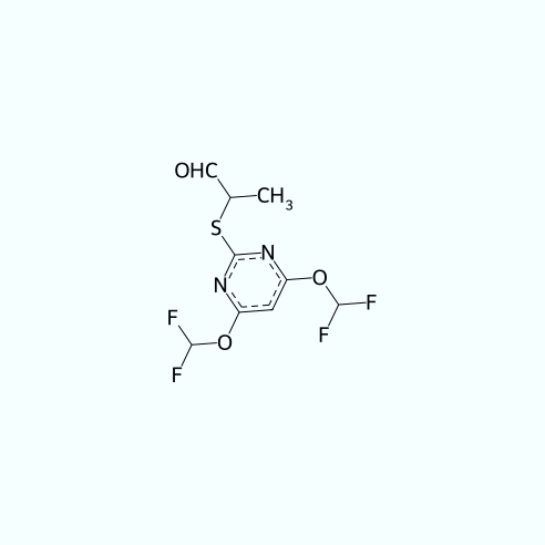 CC(C=O)Sc1nc(OC(F)F)cc(OC(F)F)n1